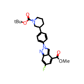 COC(=O)c1cc(F)cc2nn(-c3ccc(C4CCCN(C(=O)OC(C)(C)C)C4)cc3)cc12